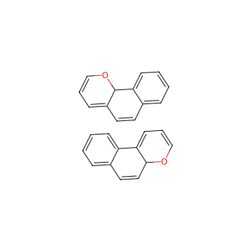 C1=COC2C(=C1)C=Cc1ccccc12.C1=COC2C=Cc3ccccc3C2=C1